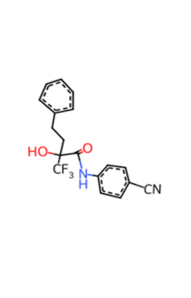 N#Cc1ccc(NC(=O)C(O)(CCc2ccccc2)C(F)(F)F)cc1